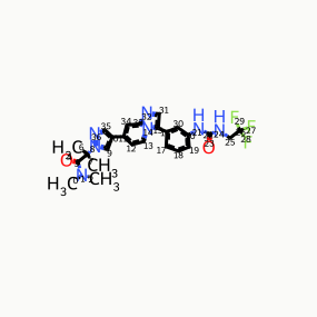 CN(C)C(=O)C(C)(C)n1cc(-c2ccn3c(-c4cccc(NC(=O)NCC(F)(F)F)c4)cnc3c2)cn1